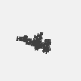 Cc1cc(F)ccc1-c1cc([C@H]2CC[C@H](CC(=O)O)CC2)nc(C#N)c1N(C)C(=O)C(C)(C)c1cc(C(F)(F)F)cc(C(F)(F)F)c1